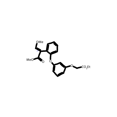 CCOC(=O)COc1cccc(Oc2ccccc2/C(=C\OC)C(=O)OC)c1